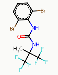 CC(NC(=O)Nc1c(Br)cccc1Br)(C(F)(F)F)C(F)(F)F